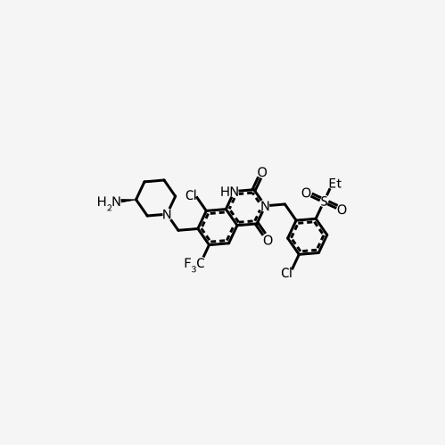 CCS(=O)(=O)c1ccc(Cl)cc1Cn1c(=O)[nH]c2c(Cl)c(CN3CCC[C@H](N)C3)c(C(F)(F)F)cc2c1=O